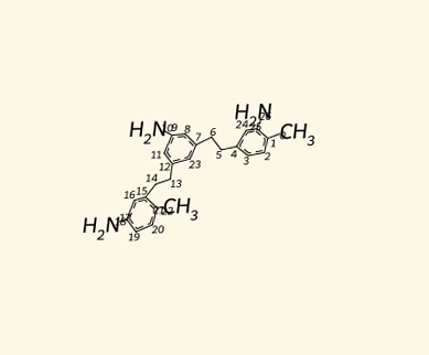 Cc1ccc(CCc2cc(N)cc(CCc3cc(N)ccc3C)c2)cc1N